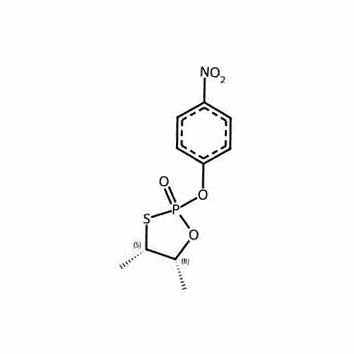 C[C@@H]1SP(=O)(Oc2ccc([N+](=O)[O-])cc2)O[C@@H]1C